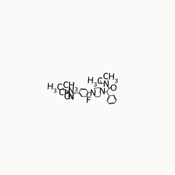 CCN(CC)C(=O)C(c1ccccc1)N1CCN(c2ccc(-c3noc(C(C)(C)C)n3)cc2F)CC1